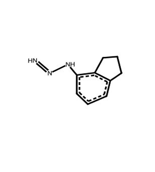 N=NNc1cccc2c1CCC2